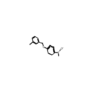 Cc1cccc(COc2ccc([S+](C)[O-])cc2)c1